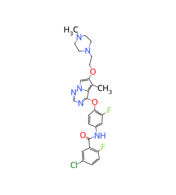 Cc1c(OCCN2CCN(C)CC2)cn2ncnc(Oc3ccc(NC(=O)c4cc(Cl)ccc4F)cc3F)c12